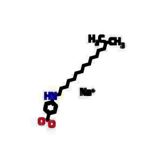 CC(C)CCCCCCCCCCCCCNc1ccc(C(=O)[O-])cc1.[Na+]